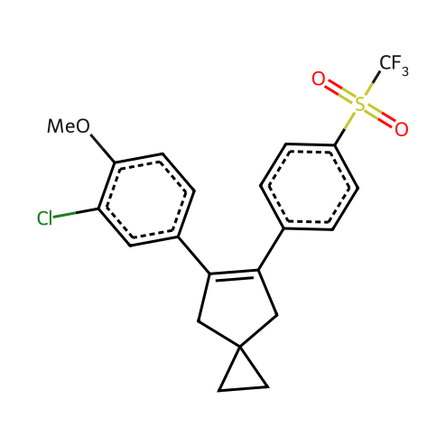 COc1ccc(C2=C(c3ccc(S(=O)(=O)C(F)(F)F)cc3)CC3(CC3)C2)cc1Cl